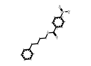 O=C(OCCCCc1ccccc1)c1ccc([N+](=O)[O-])cc1